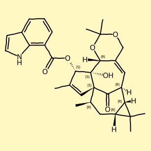 CC1=C[C@]23C(=O)[C@@H](C=C4COC(C)(C)O[C@H]4[C@]2(O)[C@H]1OC(=O)c1cccc2cc[nH]c12)[C@H]1[C@@H](C[C@H]3C)C1(C)C